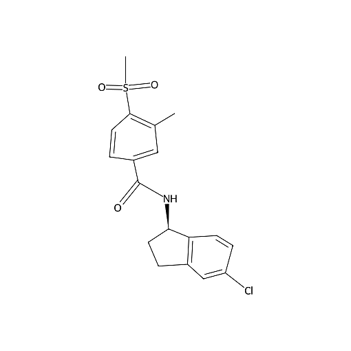 Cc1cc(C(=O)N[C@@H]2CCc3cc(Cl)ccc32)ccc1S(C)(=O)=O